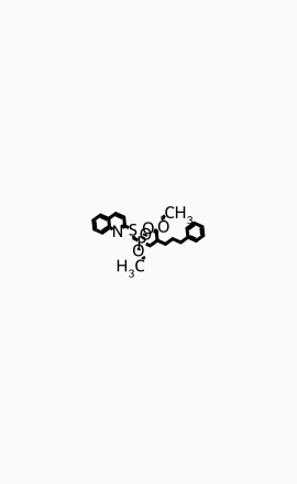 CCOC(=O)C(CCCc1ccccc1)CP(=O)(CSc1ccc2ccccc2n1)OCC